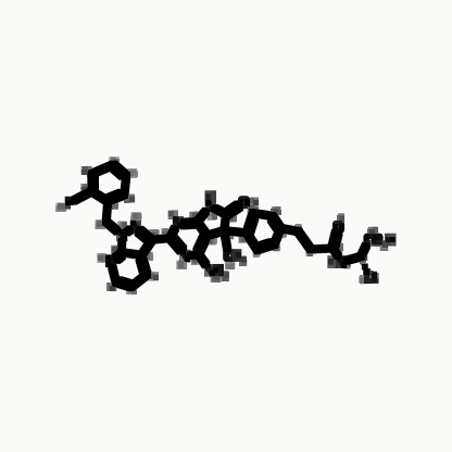 CC[C@H](NC(=O)CCc1ccc(C2(C)C(=O)Nc3nc(-c4nn(Cc5ccccc5F)c5ncccc45)nc(N)c32)cc1)C(=O)O